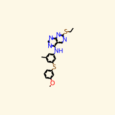 CCSc1ncc2c(Nc3cc(C)cc(Sc4cccc(OC)c4)c3)ncnc2n1